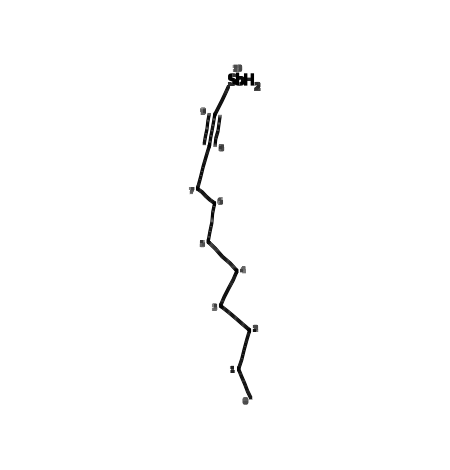 CCCCCCCCC#[C][SbH2]